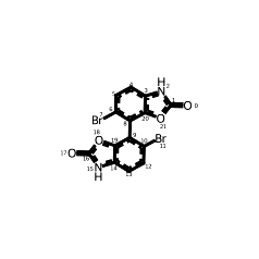 O=c1[nH]c2ccc(Br)c(-c3c(Br)ccc4[nH]c(=O)oc34)c2o1